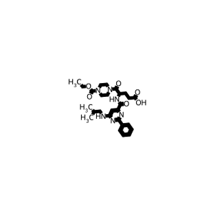 CCOC(=O)N1CCN(C(=O)C(CCC(=O)O)NC(=O)c2cc(NCC(C)C)nc(-c3ccccc3)n2)CC1